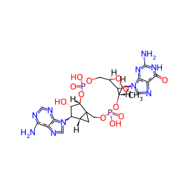 CO[C@H]1[C@H]2OP(=O)(O)OCC34C[C@@H]3[C@@H](n3cnc5c(N)ncnc53)[C@H](O)[C@@H]4OP(=O)(O)OC[C@H]1O[C@H]2n1cnc2c(=O)[nH]c(N)nc21